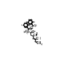 CCC(O)CC(O)CC(C)C.O=C(O)c1ccccc1.O=C(O)c1ccccc1